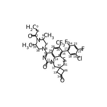 C=CC(=O)N1C(C)CN(c2nc(=O)n3c4c(c(-c5cc(Cl)c(F)cc5F)c(C(F)(F)F)cc24)SCC2(CC(=O)C2)C3)CC1C